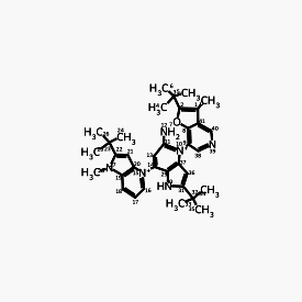 Cc1c(C(C)(C)C)oc2c(-[n+]3c(N)cc(-[n+]4cccc5c4cc(C(C)(C)C)n5C)c4[nH]c(C(C)(C)C)cc43)cncc12